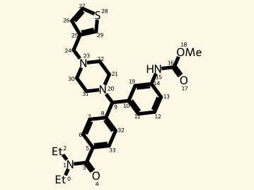 CCN(CC)C(=O)c1ccc(C(c2cccc(NC(=O)OC)c2)N2CCN(Cc3ccsc3)CC2)cc1